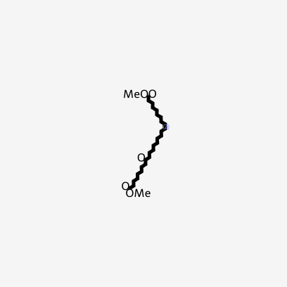 COC(=O)CCCCCCC/C=C\CCCCCCCCC(=O)CCCCCCCC(=O)OC